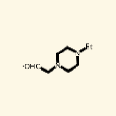 CCN1CCN(C[C]=O)CC1